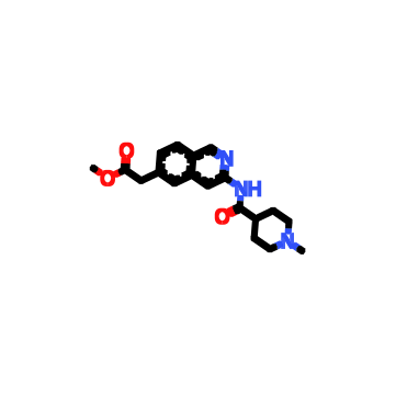 COC(=O)Cc1ccc2cnc(NC(=O)C3CCN(C)CC3)cc2c1